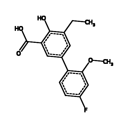 CCc1cc(-c2ccc(F)cc2OC)cc(C(=O)O)c1O